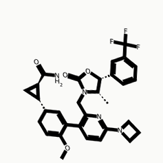 COC1=CCC([C@@H]2C[C@H]2C(N)=O)C=C1c1ccc(N2CCC2)nc1CN1C(=O)O[C@H](c2cccc(C(F)(F)F)c2)[C@@H]1C